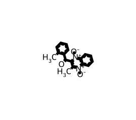 Cc1ccccc1C(=O)c1c(C)[n+]([O-])c2ccccc2[n+]1[O-]